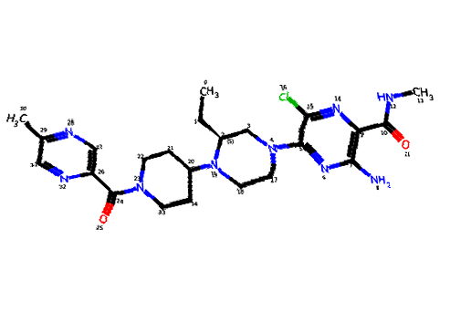 CC[C@H]1CN(c2nc(N)c(C(=O)NC)nc2Cl)CCN1C1CCN(C(=O)c2cnc(C)cn2)CC1